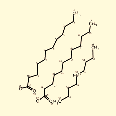 CCCCCCCCCCCC(=O)[O-].CCCCCCCCCCCC(=O)[O-].CCC[CH2][Fe+2][CH2]CCC